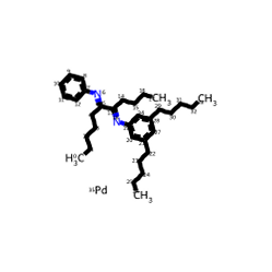 CCCCCC(=N\c1ccccc1)/C(CCCC)=N/c1cc(CCCCC)cc(CCCCC)c1.[Pd]